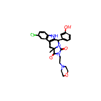 CC12Cc3c([nH]c4ccc(Cl)cc34)C(c3cccc(O)c3)N1C(=O)N(CCN1CCOCC1)C2=O